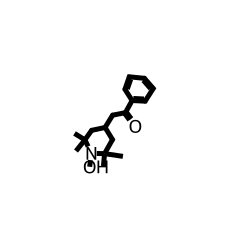 CC1(C)CC(CC(=O)c2ccccc2)CC(C)(C)N1O